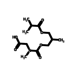 CC(COC(=O)C(C)C)COC(=O)N(C)CC(=O)O